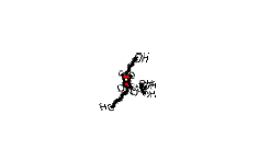 CCC(CO)(CO)CO.O=c1c2ccc(c(=O)n1CCCCCO)c1c3ccc(c(=O)n(CCCCCO)c3=O)c21